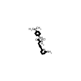 CN(C)c1ccc(NC(=O)C(N)CC#Cc2cccc(N)n2)cc1.Cl